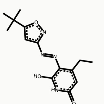 CCc1cc(=O)[nH]c(O)c1N=Nc1cc(C(C)(C)C)on1